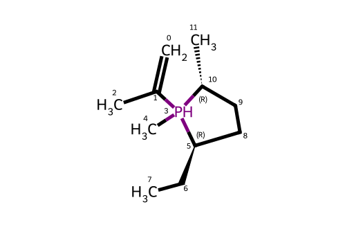 C=C(C)[PH]1(C)[C@H](CC)CC[C@H]1C